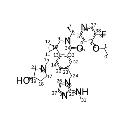 CCOc1cc([C@H](C)N2CC3(CC3)c3c(CN4CC[C@@H](O)C4)cc(Cn4ccnc4NC)cc3C2=O)ncc1F